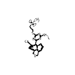 CS(=O)(=O)CCSc1nc(N)nc(-c2c(Cl)cc3c4c(cccc24)COC3)n1